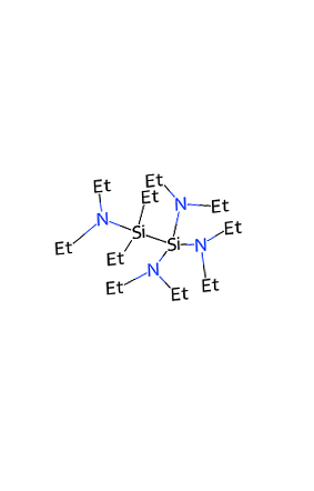 CCN(CC)[Si](CC)(CC)[Si](N(CC)CC)(N(CC)CC)N(CC)CC